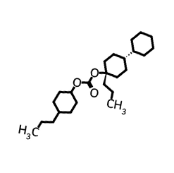 CCCC1CCC(OC(=O)O[C@]2(CCC)CC[C@H](C3CCCCC3)CC2)CC1